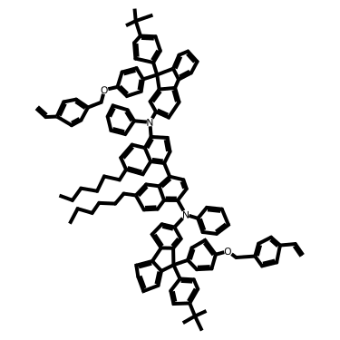 C=Cc1ccc(COc2ccc(C3(c4ccc(C(C)(C)C)cc4)c4ccccc4-c4ccc(N(c5ccccc5)c5ccc(-c6ccc(N(c7ccccc7)c7ccc8c(c7)C(c7ccc(OCc9ccc(C=C)cc9)cc7)(c7ccc(C(C)(C)C)cc7)c7ccccc7-8)c7ccc(CCCCCC)cc67)c6cc(CCCCCC)ccc56)cc43)cc2)cc1